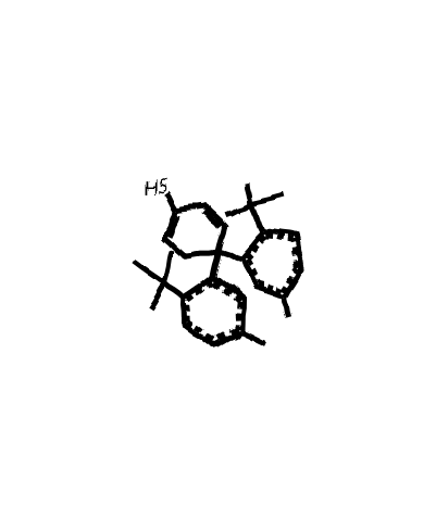 Cc1ccc(C(C)(C)C)c(C2(c3cc(C)ccc3C(C)(C)C)C=CC(S)=CC2)c1